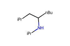 CCCCC(CC(C)C)NC(C)C